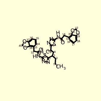 CCCC(C[C@H](C)c1nnc(NC(=O)Cc2cccc3c2OCO3)s1)c1nnc(NC(=O)Cc2cccc3c2OCO3)s1